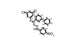 O=[N+]([O-])c1ccc(NCCN(Cc2cc(Cl)cc(Cl)c2)c2nccc(-c3cc[c]cc3)n2)nc1